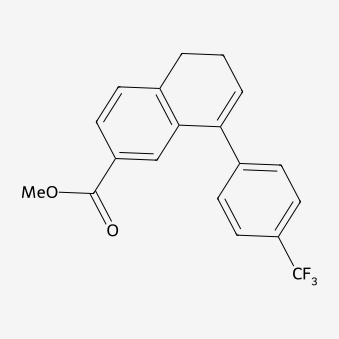 COC(=O)c1ccc2c(c1)C(c1ccc(C(F)(F)F)cc1)=CCC2